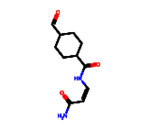 NC(=O)/C=C\NC(=O)C1CCC(C=O)CC1